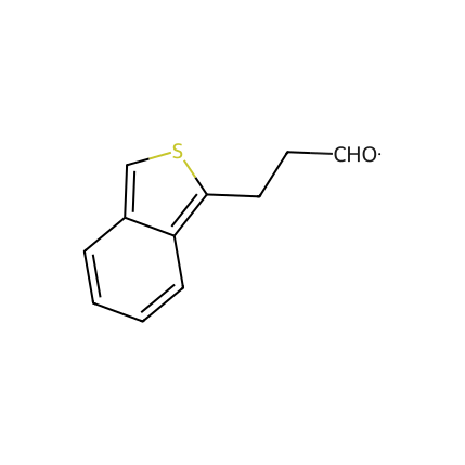 O=[C]CCc1scc2ccccc12